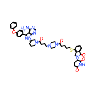 Nc1ncnc2c1c(-c1ccc(Oc3ccccc3)cc1)nn2[C@@H]1CCCN(C(=O)CCCN2CCN(C(=O)CCCCSc3cccc4c3CN(C3CCC(=O)NC3=O)C4=O)CC2)C1